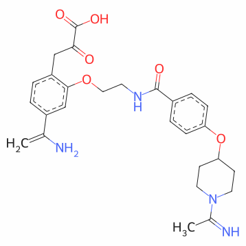 C=C(N)c1ccc(CC(=O)C(=O)O)c(OCCNC(=O)c2ccc(OC3CCN(C(C)=N)CC3)cc2)c1